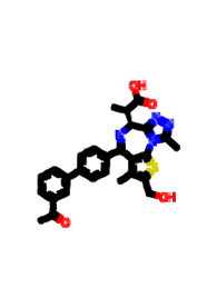 CC(=O)c1cccc(-c2ccc(C3=N[C@@H](C(C)C(=O)O)c4nnc(C)n4-c4sc(CO)c(C)c43)cc2)c1